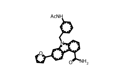 CC(=O)Nc1cccc(Cn2c3cc(-c4ccco4)c[c]c3c3c(C(N)=O)cccc32)c1